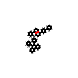 c1ccc(-c2ccc(-c3ccc(N(c4ccc(-c5c(-c6ccccc6)c6ccccc6c6ccccc56)cc4)c4ccccc4-c4ccccc4)cc3)cc2)cc1